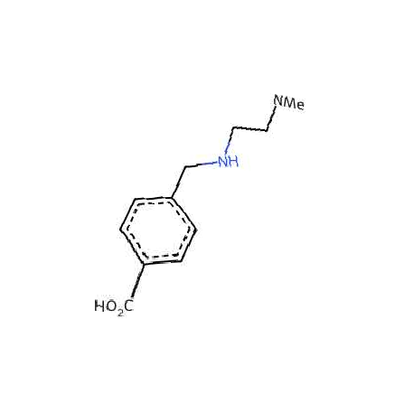 CNCCNCc1ccc(C(=O)O)cc1